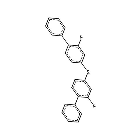 Fc1cc(Sc2ccc(-c3ccccc3)c(F)c2)ccc1-c1ccccc1